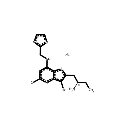 CC[C@H](N)Cc1sc2c(NCc3nccs3)cc(Cl)nc2c1Br.Cl